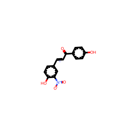 O=C(/C=C/c1ccc(O)c([N+](=O)[O-])c1)c1ccc(O)cc1